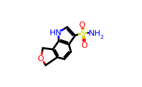 NS(=O)(=O)c1c[nH]c2c3c(ccc12)COC3